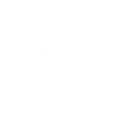 Brc1ccc2c(c1)oc1c3ccccc3c3ccccc3c21